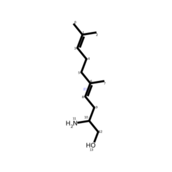 CC(C)=CCC/C(C)=C/CC(N)CO